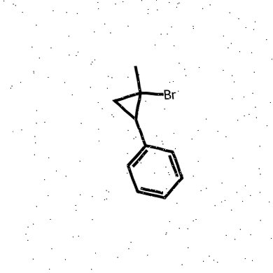 CC1(Br)CC1c1ccccc1